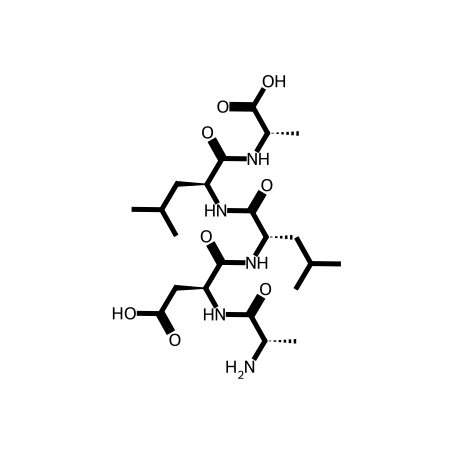 CC(C)C[C@H](NC(=O)[C@H](CC(C)C)NC(=O)[C@H](CC(=O)O)NC(=O)[C@H](C)N)C(=O)N[C@@H](C)C(=O)O